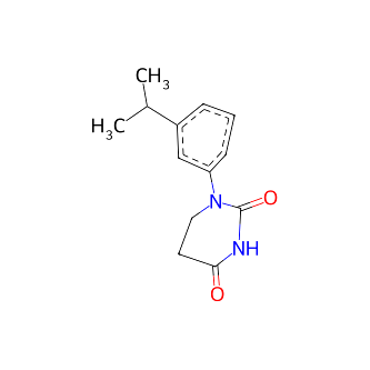 CC(C)c1cccc(N2CCC(=O)NC2=O)c1